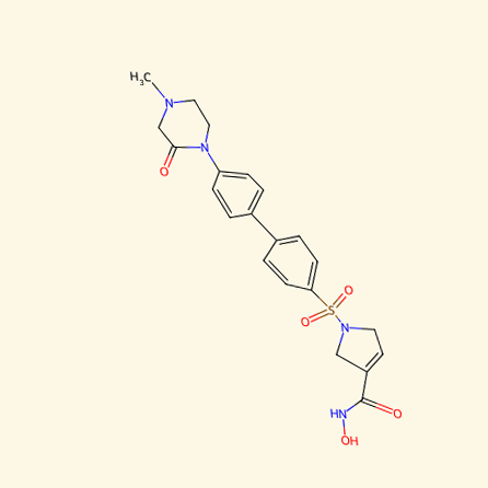 CN1CCN(c2ccc(-c3ccc(S(=O)(=O)N4CC=C(C(=O)NO)C4)cc3)cc2)C(=O)C1